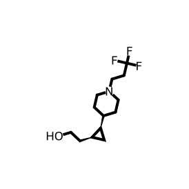 OCC[C@@H]1C[C@@H]1C1CCN(CCC(F)(F)F)CC1